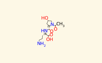 CC(=O)N1CC(O)C[C@H]1C(=O)N[C@@H](CCCN)C(=O)O